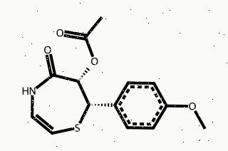 COc1ccc([C@@H]2SC=CNC(=O)[C@@H]2OC(C)=O)cc1